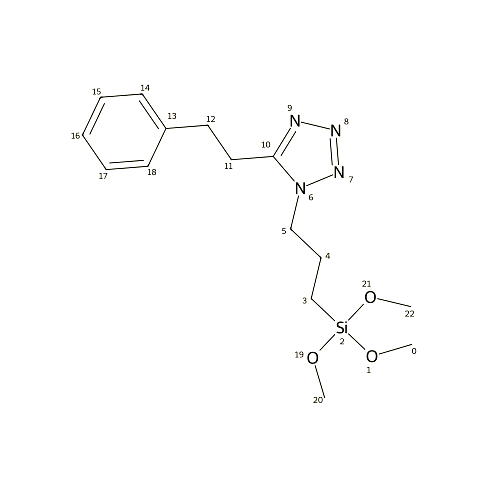 CO[Si](CCCn1nnnc1CCc1ccccc1)(OC)OC